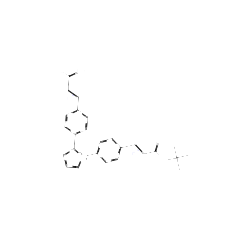 CC(C)(C)OC(=O)/C=C/c1ccc(-n2cccc2-c2ccc(/C=C/C(=O)O)cc2)cc1